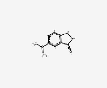 C=C(C)c1ccc2c(c1)C(=O)NC2